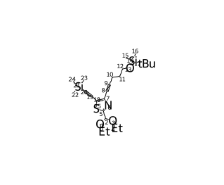 CCOC(OCC)c1nc(C#CCCCO[Si](C)(C)C(C)(C)C)c(C#C[Si](C)(C)C)s1